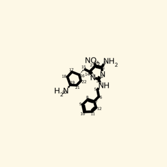 Nc1nc(NCCc2ccccc2)nc(C[C@H]2CC[C@H](N)CC2)c1[N+](=O)[O-]